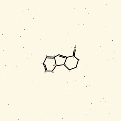 O=C1CCCC2C1=CC1=CC=CCC12